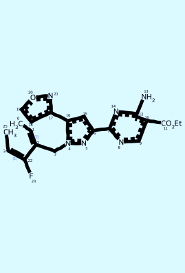 C/C=C(Cn1nc(-c2ncc(C(=O)OCC)c(N)n2)cc1-c1ccon1)\C(F)=C/C